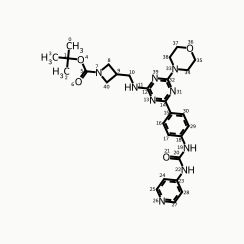 CC(C)(C)OC(=O)N1CC(CNc2nc(-c3ccc(NC(=O)Nc4ccncc4)cc3)nc(N3CCOCC3)n2)C1